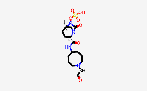 O=CBN1CCCC(NC(=O)[C@@H]2CC[C@@H]3CN2C(=O)N3OS(=O)(=O)O)CCC1